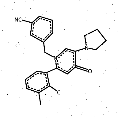 Cc1cccc(-c2cc(=O)c(N3CCCC3)cn2Cc2cccc(C#N)c2)c1Cl